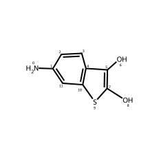 Nc1ccc2c(O)c(O)sc2c1